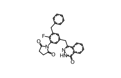 O=C1CCC(=O)N1c1cc(Cc2n[nH]c(=O)c3ccccc23)cc(Cc2ccccc2)c1F